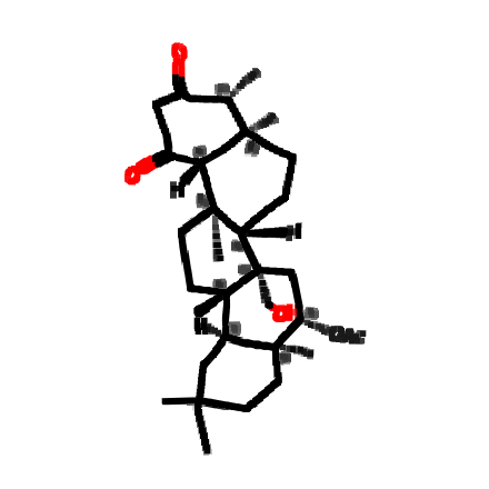 CC(=O)O[C@H]1C[C@]2(CO)[C@H]3CC[C@@]4(C)[C@@H](C(=O)CC(=O)[C@@H]4C)[C@]3(C)CC[C@@]2(C)[C@@H]2CC(C)(C)CC[C@]12C